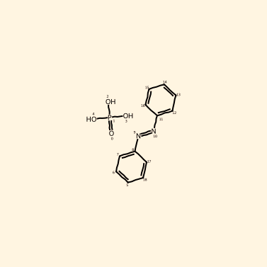 O=P(O)(O)O.c1ccc(N=Nc2ccccc2)cc1